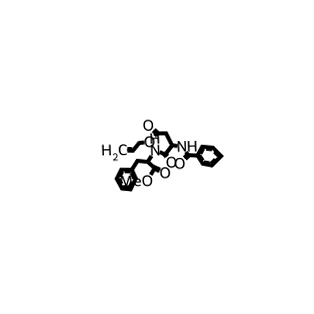 C=CCOC(=O)CC(NC(=O)c1ccccc1)C(=O)NC(Cc1ccccc1)C(=O)OC